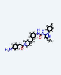 Cc1ccc(-n2nc(C(C)(C)C)cc2NC(=O)Nc2cccc(CC3CCN(C(=O)Cc4ccc(N)cc4)CC3)c2)cc1